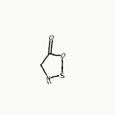 O=C1CNSO1